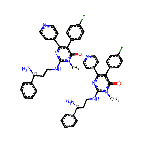 Cn1c(NCC[C@@H](N)c2ccccc2)nc(-c2ccncc2)c(-c2ccc(F)cc2)c1=O.Cn1c(NCC[C@H](N)c2ccccc2)nc(-c2ccncc2)c(-c2ccc(F)cc2)c1=O